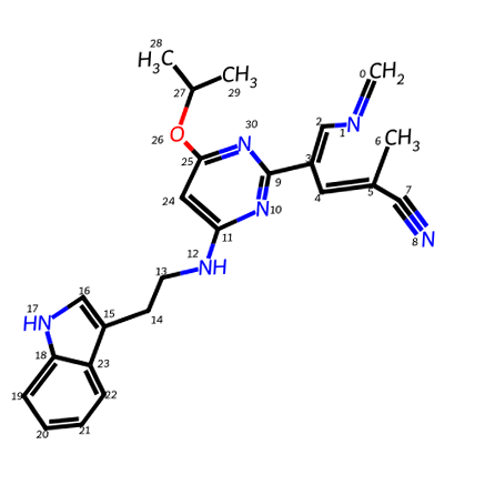 C=N/C=C(\C=C(/C)C#N)c1nc(NCCc2c[nH]c3ccccc23)cc(OC(C)C)n1